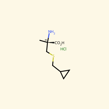 C[C@](N)(CSCC1CC1)C(=O)O.Cl